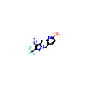 COc1ccc(Cn2nc(C(F)(F)F)c(N)c2C)cn1